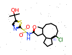 CC1CCCC/C(Cl)=C2/CCCC2C1CC(=O)NS(=O)(=O)c1ncc(C(C)(C)O)s1